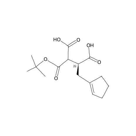 CC(C)(C)OC(=O)C(C(=O)O)[C@H](CC1=CCCC1)C(=O)O